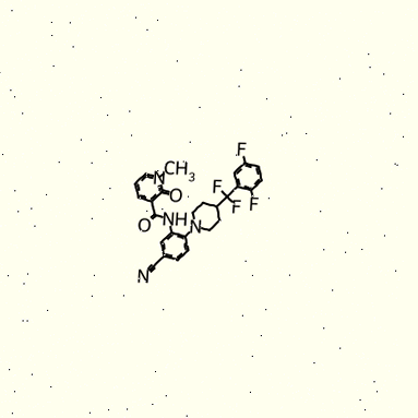 Cn1cccc(C(=O)Nc2cc(C#N)ccc2N2CCC(C(F)(F)c3cc(F)ccc3F)CC2)c1=O